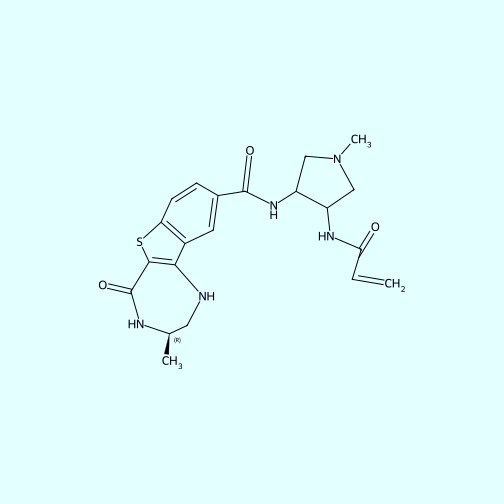 C=CC(=O)NC1CN(C)CC1NC(=O)c1ccc2sc3c(c2c1)NC[C@@H](C)NC3=O